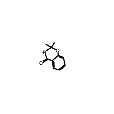 CC1(C)[N]C(=O)c2ccccc2O1